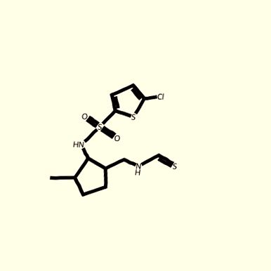 CC1CCC(CNC=S)C1NS(=O)(=O)c1ccc(Cl)s1